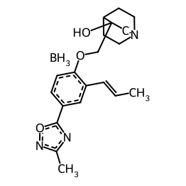 B.C/C=C/c1cc(-c2nc(C)no2)ccc1OCC1(O)CN2CCC1CC2